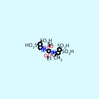 CC=C1C=Cc2c(cc(S(=O)(=O)O)cc2S(=O)(=O)O)/C1=N/N(C)c1cc(OC(=O)CC)c(-n2nc3ccc4c(S(=O)(=O)O)cc(S(=O)(=O)O)cc4c3n2)cc1OC(=O)CC